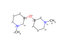 CN1CCCB(OB2CCCN(C)C2)C1